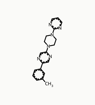 Cc1cccc(-c2cnc(N3CCN(c4ncccn4)CC3)cn2)c1